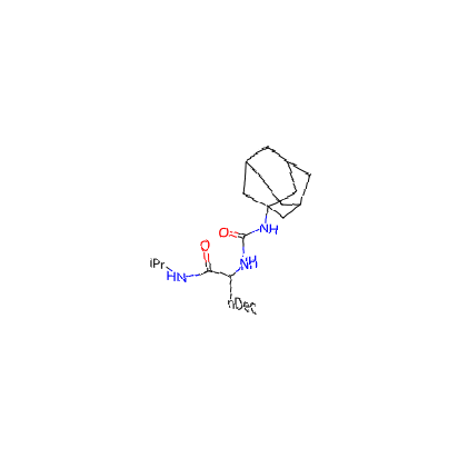 CCCCCCCCCCC(NC(=O)NC12CC3CC(CC(C3)C1)C2)C(=O)NC(C)C